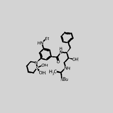 CCCCC(C)NC[C@H](O)[C@H](Cc1ccccc1)NC(=O)c1cc(NCC)cc(N2CCCCS2(O)O)c1